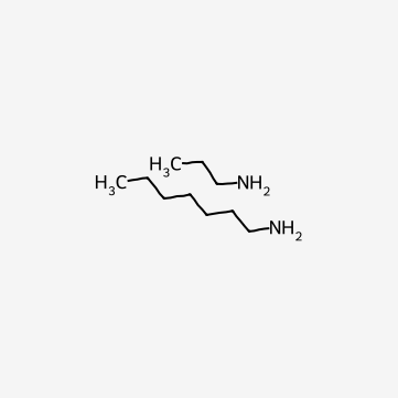 CCCCCCCN.CCCN